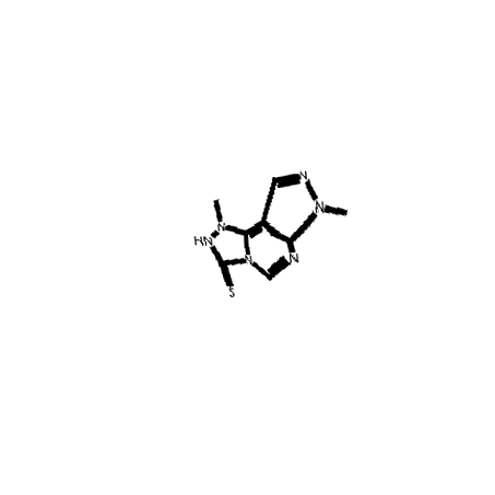 CN1NC(=S)N2C=NC3C(=C12)C=NN3C